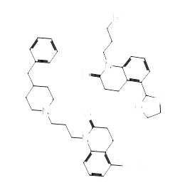 O=C1CCc2c(C3OCCO3)cccc2N1CCCBr.O=Cc1cccc2c1CCC(=O)N2CCCN1CCC(Cc2ccccc2)CC1